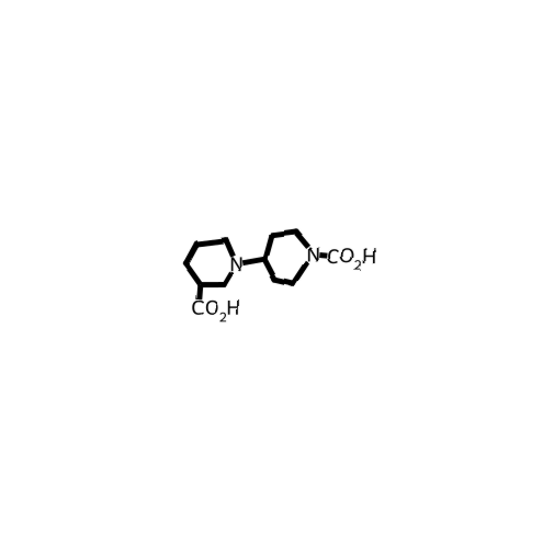 O=C(O)C1CCCN(C2CCN(C(=O)O)CC2)C1